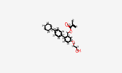 C=C(C)C(=O)OCc1cc(OCCO)ccc1-c1ccc(C2CCCCC2)cc1